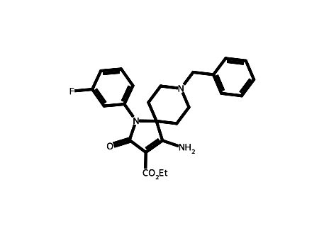 CCOC(=O)C1=C(N)C2(CCN(Cc3ccccc3)CC2)N(c2cccc(F)c2)C1=O